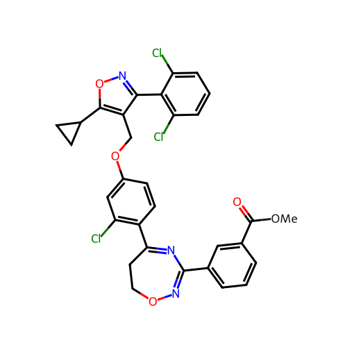 COC(=O)c1cccc(C2=NOCCC(c3ccc(OCc4c(-c5c(Cl)cccc5Cl)noc4C4CC4)cc3Cl)=N2)c1